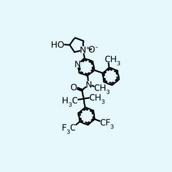 Cc1ccccc1-c1cc([N+]2([O-])CCC(O)C2)ncc1N(C)C(=O)C(C)(C)c1cc(C(F)(F)F)cc(C(F)(F)F)c1